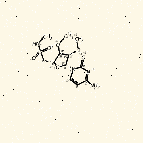 CNS(=O)(=O)C[C@H]1O[C@@H](n2ccc(N)nc2=O)[C@H](OC)[C@@H]1OC